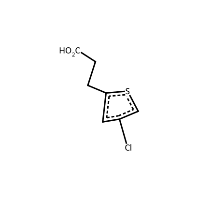 O=C(O)CCc1cc(Cl)cs1